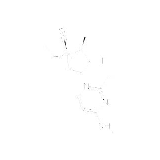 C#C[C@]1(CC)O[C@@H](n2ccc(N)nc2=O)[C@@H](F)[C@@H]1C